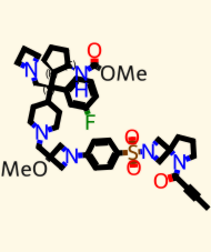 CC#CC(=O)N1CCCC12CN(S(=O)(=O)c1ccc(N3CC(CN4CCC([C@@](CN5CCC5)(c5cccc(F)c5)[C@H]5CCC[C@@H]5NC(=O)OC)CC4)(OC)C3)cc1)C2